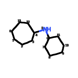 C1CCCC(NC2CCCCC2)CC1